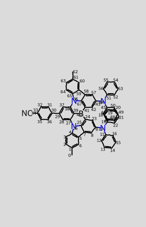 Cc1ccc2c(c1)c1cc(N(c3ccccc3)c3ccccc3)cc3c1n2-c1cc(-c2ccc(C#N)cc2)cc2c1B3c1cc(N(c3ccccc3)c3ccccc3)cc3c4cc(C)ccc4n-2c13